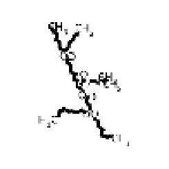 CC/C=C\CCCCOC(CCC(=O)OCCN(CCCCCC(=O)OC(CCCCCC)CCCCCC)C(=O)SCCN(C)C)OCCCC/C=C\CC